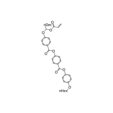 C=CC(=O)OC(CCCCCCCCCC)Oc1ccc(C(=O)Oc2ccc(C(=O)Oc3ccc(OCCCCCC)cc3)cc2)cc1